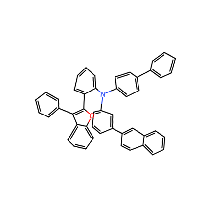 c1ccc(-c2ccc(N(c3cccc(-c4ccc5ccccc5c4)c3)c3ccccc3-c3oc4ccccc4c3-c3ccccc3)cc2)cc1